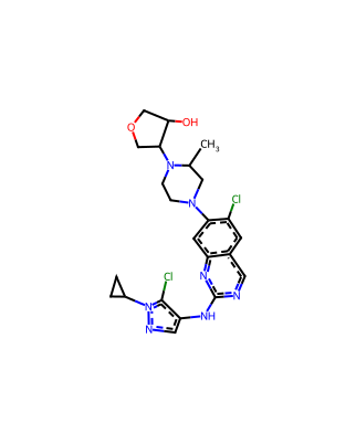 CC1CN(c2cc3nc(Nc4cnn(C5CC5)c4Cl)ncc3cc2Cl)CCN1C1COCC1O